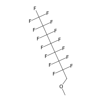 COCC(F)(F)C(F)(F)C(F)(F)C(F)(F)C(F)(F)C(F)(F)C(F)(F)F